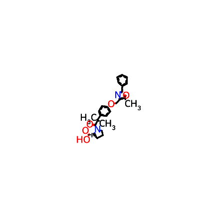 Cc1oc(-c2ccccc2)nc1COc1ccc(C(C)(C)C(=O)N2CCC[C@@H]2C(=O)O)cc1